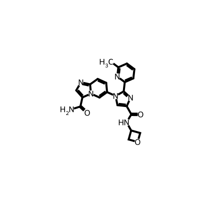 Cc1cccc(-c2nc(C(=O)NC3COC3)cn2-c2ccc3ncc(C(N)=O)n3c2)n1